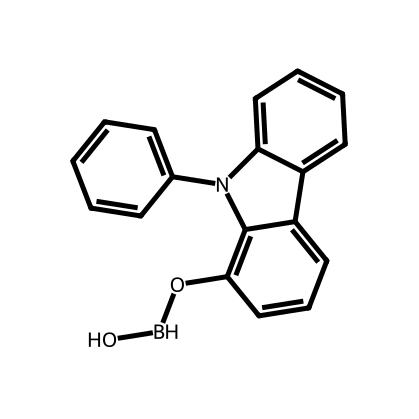 OBOc1cccc2c3ccccc3n(-c3ccccc3)c12